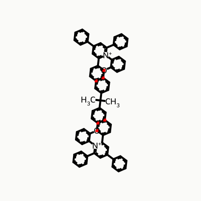 CC(C)(c1ccc(Oc2ccccc2-[n+]2c(-c3ccccc3)cc(-c3ccccc3)cc2-c2ccccc2)cc1)c1ccc(Oc2ccccc2-[n+]2c(-c3ccccc3)cc(-c3ccccc3)cc2-c2ccccc2)cc1